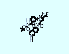 CC(C)(C)OC(=O)NCc1cccc(-n2nc(C(F)(F)F)cc2C(=O)Nc2ccc3c(c2F)CCNC3)c1